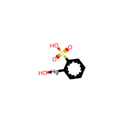 O=S(=O)(O)c1cccc[c]1[Hg][OH]